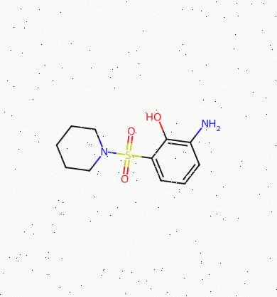 Nc1cccc(S(=O)(=O)N2CCCCC2)c1O